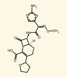 CO/N=C(\C(=O)N[C@@H]1C(=O)N2C(C(=O)O)=C(C3CCCO3)CS[C@H]12)c1csc(N)n1